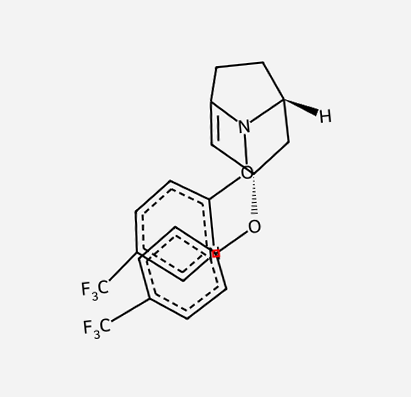 FC(F)(F)c1ccc(O[C@@H]2C=C3CC[C@H](C2)N3Oc2ccc(C(F)(F)F)cn2)cc1